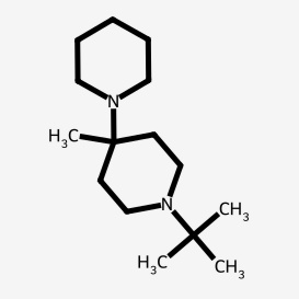 CC(C)(C)N1CCC(C)(N2CCCCC2)CC1